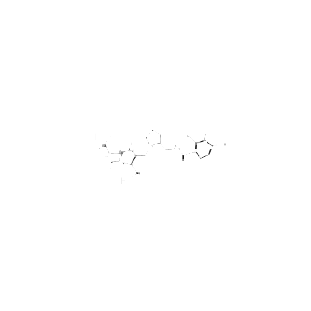 C[C@@H](O)[C@H]1C(=O)N2C(C(=O)O)=C(CN3CCCC3CNC(=O)c3ccc(O)c(O)c3Cl)[C@H](C)[C@H]12